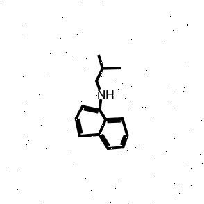 CC(C)CNc1cccc2ccccc12